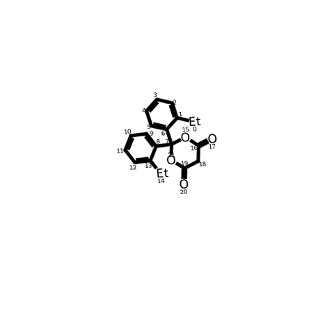 CCc1ccccc1C1(c2ccccc2CC)OC(=O)CC(=O)O1